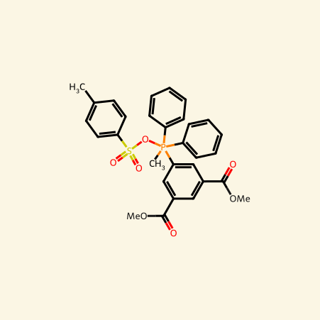 COC(=O)c1cc(C(=O)OC)cc(P(C)(OS(=O)(=O)c2ccc(C)cc2)(c2ccccc2)c2ccccc2)c1